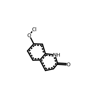 O=c1ccc2ccc(OCl)cc2[nH]1